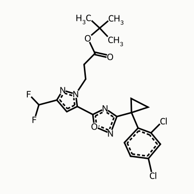 CC(C)(C)OC(=O)CCn1nc(C(F)F)cc1-c1nc(C2(c3ccc(Cl)cc3Cl)CC2)no1